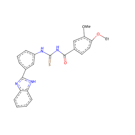 CCOc1ccc(C(=O)NC(=S)Nc2cccc(-c3nc4ccccc4[nH]3)c2)cc1OC